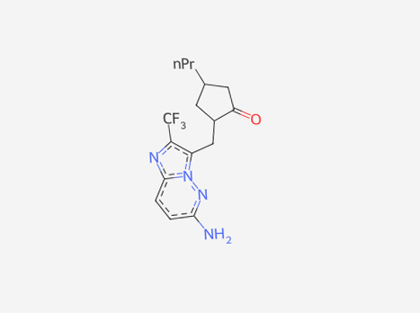 CCCC1CC(=O)C(Cc2c(C(F)(F)F)nc3ccc(N)nn23)C1